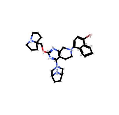 Brc1ccc(N2CCc3c(nc(OCC45CCCN4CCC5)nc3N3CC4CCC(C3)N4)C2)c2ccccc12